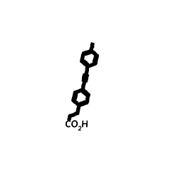 Cc1ccc(C#Cc2ccc(CCC(=O)O)cc2)cc1